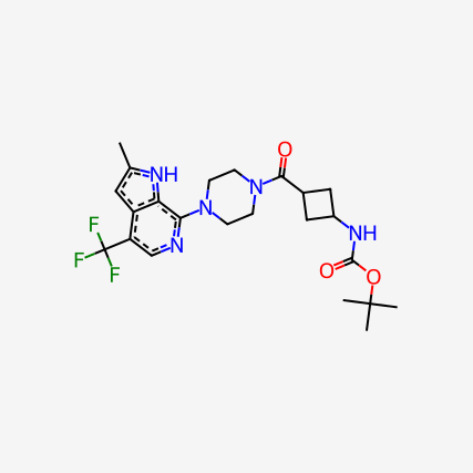 Cc1cc2c(C(F)(F)F)cnc(N3CCN(C(=O)C4CC(NC(=O)OC(C)(C)C)C4)CC3)c2[nH]1